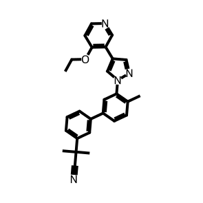 CCOc1ccncc1-c1cnn(-c2cc(-c3cccc(C(C)(C)C#N)c3)ccc2C)c1